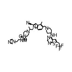 Cc1c(CN2CCC(Nc3ncnc4sc(CC(F)(F)F)cc34)CC2)ccc2c1cc(C#N)n2CC(C)N1CCN(S(=O)(=O)NCCn2ccnc2)CC1